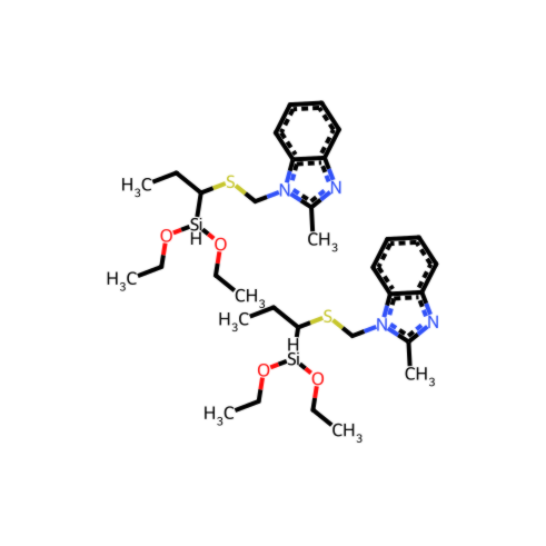 CCO[SiH](OCC)C(CC)SCn1c(C)nc2ccccc21.CCO[SiH](OCC)C(CC)SCn1c(C)nc2ccccc21